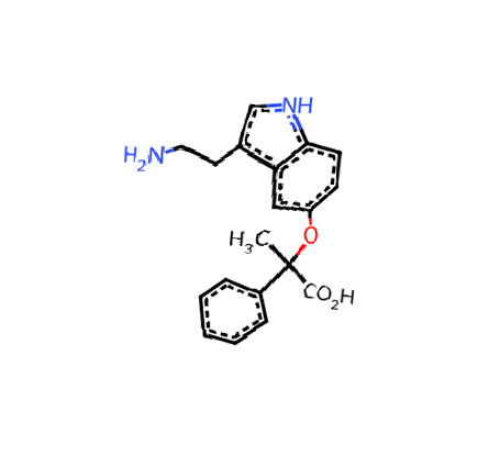 CC(Oc1ccc2[nH]cc(CCN)c2c1)(C(=O)O)c1ccccc1